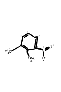 Cc1[c]ccc([N+](=O)[O-])c1O